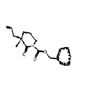 C=CC[C@]1(C)CCCN(C(=O)OCc2ccccc2)C1=O